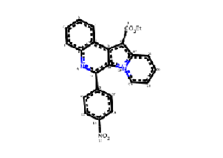 CCOC(=O)c1c2c3ccccc3nc(-c3ccc([N+](=O)[O-])cc3)c2n2ccccc12